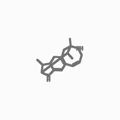 CC1C2CC3=C4C=C2NC1C(C)C(C)(C3)NC/C=C\4